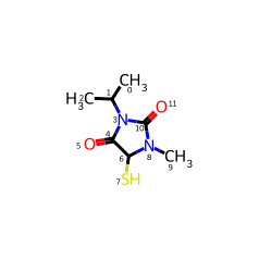 CC(C)N1C(=O)C(S)N(C)C1=O